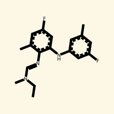 CCN(C)C=Nc1c(C)cc(F)cc1Nc1cc(C)cc(F)c1